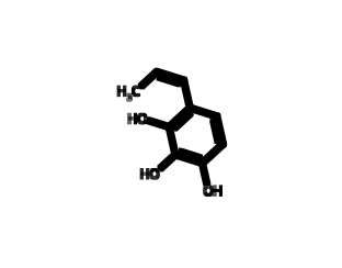 C/C=C\c1ccc(O)c(O)c1O